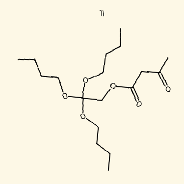 CCCCOC(COC(=O)CC(C)=O)(OCCCC)OCCCC.[Ti]